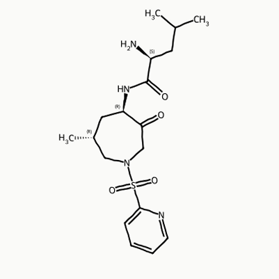 CC(C)C[C@H](N)C(=O)N[C@@H]1C[C@@H](C)CN(S(=O)(=O)c2ccccn2)CC1=O